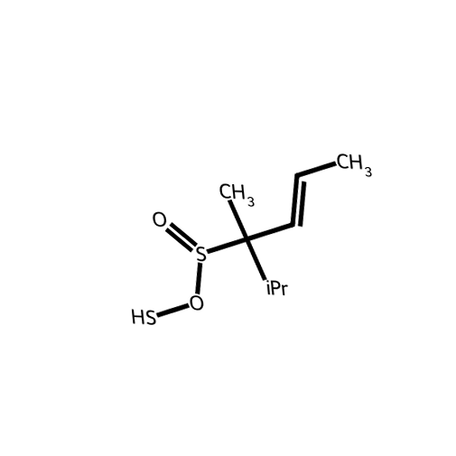 CC=CC(C)(C(C)C)S(=O)OS